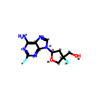 Nc1nc(F)nc2c1ncn2C1CC(F)(CO)CO1